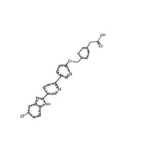 O=C(O)Cc1ccc(COc2ccc(-c3ccc(-c4nc5cc(Cl)ccc5[nH]4)cn3)cn2)cc1